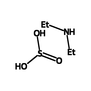 CCNCC.O=S(O)O